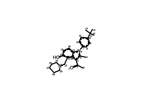 CC(=O)c1c(C)n(-c2ccc(C(C)(C)C)cc2)c2ccc(O)c(CN3CCCCC3)c12